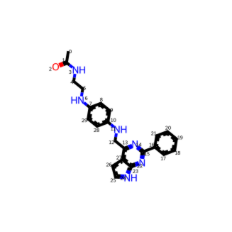 CC(=O)NCCNc1ccc(NCc2nc(-c3ccccc3)nc3[nH]ccc23)cc1